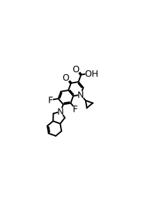 O=C(O)c1cn(C2CC2)c2c(F)c(N3CC4C=CCCC4C3)c(F)cc2c1=O